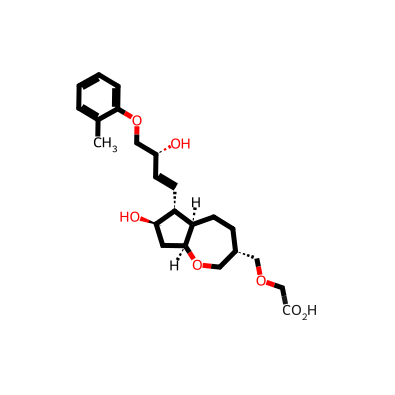 Cc1ccccc1OC[C@H](O)C=C[C@@H]1[C@H]2CC[C@H](COCC(=O)O)CO[C@H]2C[C@H]1O